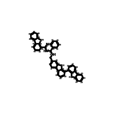 NC(NC(NCc1ccc2c(c1)sc1c(-c3cccc4c3sc3ccccc34)cccc12)c1ccccc1)c1cccc2c1sc1ccccc12